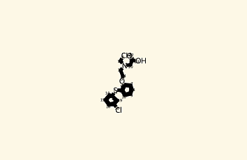 CCN(CCOc1ccccc1Sc1cccc(Cl)c1)CC(=O)O